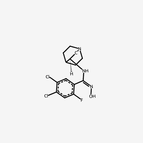 O/N=C(/N[C@@H]1CN2CCC1CC2)c1cc(Cl)c(Cl)cc1F